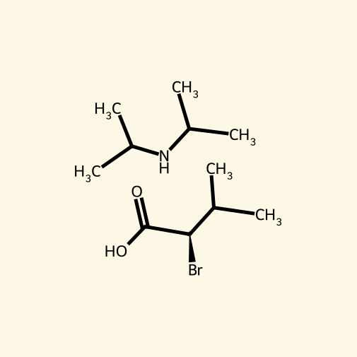 CC(C)NC(C)C.CC(C)[C@@H](Br)C(=O)O